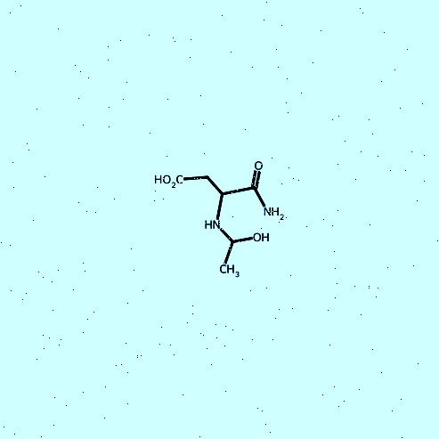 CC(O)NC(CC(=O)O)C(N)=O